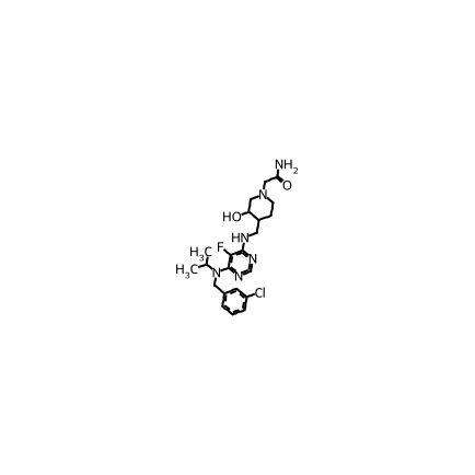 CC(C)N(Cc1cccc(Cl)c1)c1ncnc(NCC2CCN(CC(N)=O)CC2O)c1F